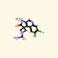 CN1C(=O)C2(CN(C(N)=O)C2)c2c1cnc1cc(F)c(Br)cc21